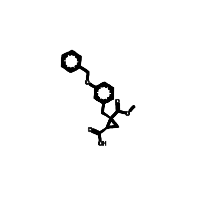 COC(=O)[C@]1(Cc2cccc(OCc3ccccc3)c2)C[C@H]1C(=O)O